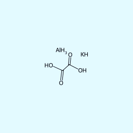 O=C(O)C(=O)O.[AlH3].[KH]